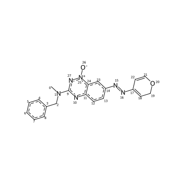 CN(Cc1ccccc1)c1nc2ccc(N=NC3=CCOC=C3)cc2[n+]([O-])n1